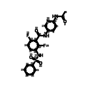 CC(=O)Nc1ccc(NC(=O)c2c(F)ccc(NS(=O)(=O)c3ccccc3)c2F)cn1